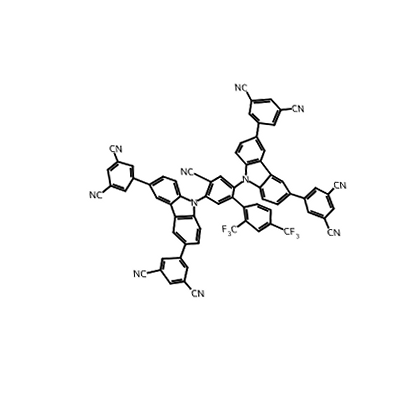 N#Cc1cc(C#N)cc(-c2ccc3c(c2)c2cc(-c4cc(C#N)cc(C#N)c4)ccc2n3-c2cc(-c3ccc(C(F)(F)F)cc3C(F)(F)F)c(-n3c4ccc(-c5cc(C#N)cc(C#N)c5)cc4c4cc(-c5cc(C#N)cc(C#N)c5)ccc43)cc2C#N)c1